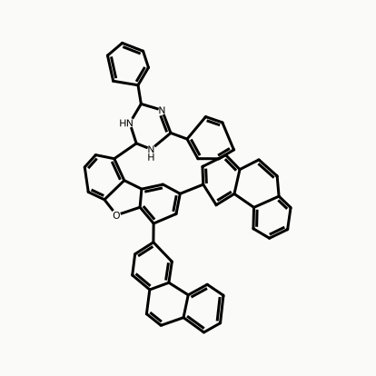 c1ccc(C2=NC(c3ccccc3)NC(c3cccc4oc5c(-c6ccc7ccc8ccccc8c7c6)cc(-c6ccc7ccc8ccccc8c7c6)cc5c34)N2)cc1